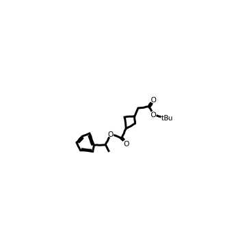 CC(OC(=O)C1CC(CC(=O)OC(C)(C)C)C1)c1ccccc1